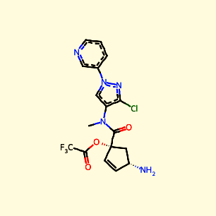 CN(C(=O)[C@]1(OC(=O)C(F)(F)F)C=C[C@@H](N)C1)c1cn(-c2cccnc2)nc1Cl